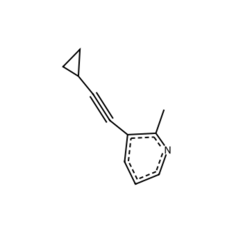 Cc1ncccc1C#CC1CC1